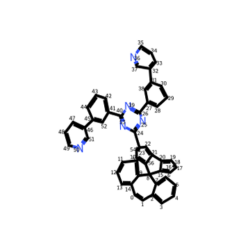 C1=Cc2ccccc2C2(c3ccccc31)c1ccccc1-c1cc(-c3nc(-c4cccc(-c5cccnc5)c4)nc(-c4cccc(-c5cccnc5)c4)n3)ccc12